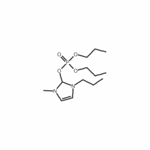 CCCOP(=O)(OCCC)OC1N(C)C=CN1CCC